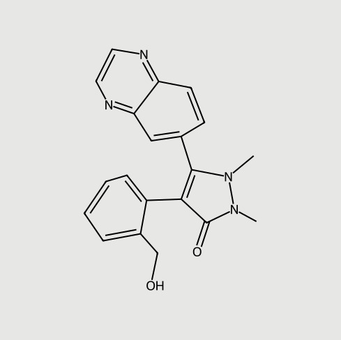 Cn1c(-c2ccc3nccnc3c2)c(-c2ccccc2CO)c(=O)n1C